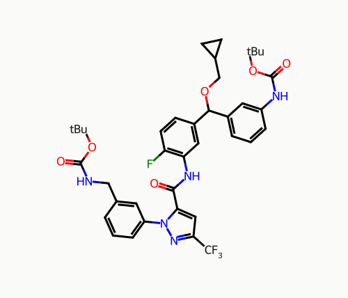 CC(C)(C)OC(=O)NCc1cccc(-n2nc(C(F)(F)F)cc2C(=O)Nc2cc(C(OCC3CC3)c3cccc(NC(=O)OC(C)(C)C)c3)ccc2F)c1